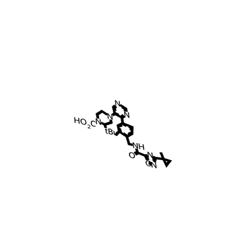 Cc1cc(-c2ncncc2N2CCN(C(=O)O)C(C(C)(C)C)C2)ccc1CNC(=O)c1nc(C2(C)CC2)no1